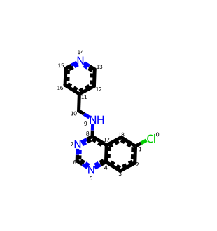 Clc1ccc2ncnc(NCc3ccncc3)c2c1